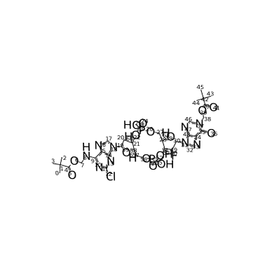 CC(C)(C)C(=O)OCNc1nc(Cl)nc2c1ncn2[C@H]1C[C@@H]2OP(=O)(O)OC[C@H]3O[C@@H](n4cnc5c(=O)n(COC(=O)C(C)(C)C)cnc54)[C@H](F)[C@@H]3OP(=O)(O)OC[C@H]2O1